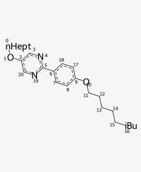 CCCCCCCOc1cnc(-c2ccc(OCCCCCC(C)CC)cc2)nc1